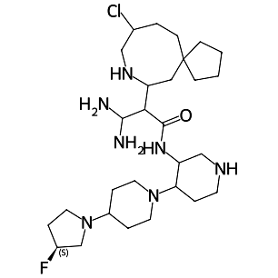 NC(N)C(C(=O)NC1CNCCC1N1CCC(N2CC[C@H](F)C2)CC1)C1CC2(CCCC2)CCC(Cl)CN1